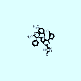 CC1CCC(Cn2c(N3CCO[C@H](C)[C@H]3c3ccccc3)nc3nc(-c4noc(=O)[nH]4)nc(-c4cccc(Cl)c4)c32)CC1